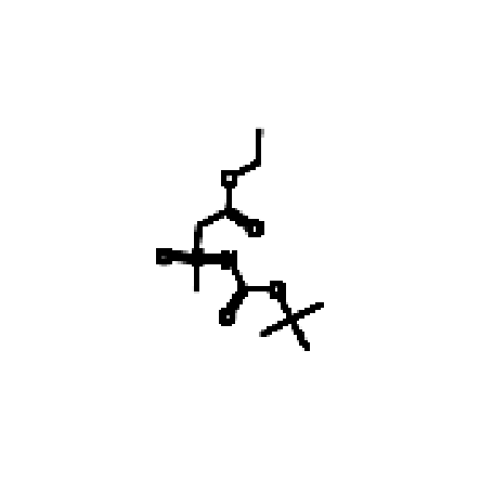 CCOC(=O)CS(C)(=O)=NC(=O)OC(C)(C)C